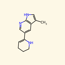 Cc1c[nH]c2ncc(C3=CCCCN3)cc12